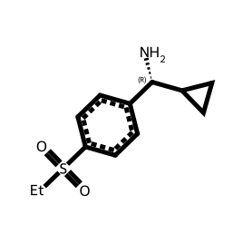 CCS(=O)(=O)c1ccc([C@H](N)C2CC2)cc1